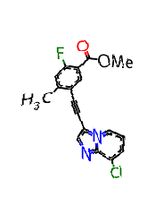 COC(=O)c1cc(C#Cc2cnc3c(Cl)cccn23)c(C)cc1F